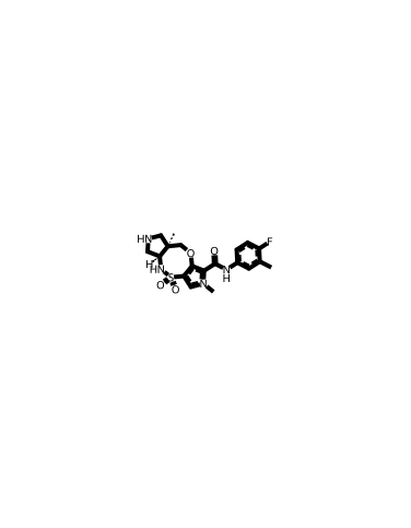 Cc1cc(NC(=O)c2c3c(cn2C)S(=O)(=O)N[C@H]2CNC[C@@]2(C)CO3)ccc1F